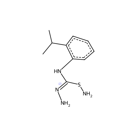 CC(C)c1ccccc1N/C(=N/N)SN